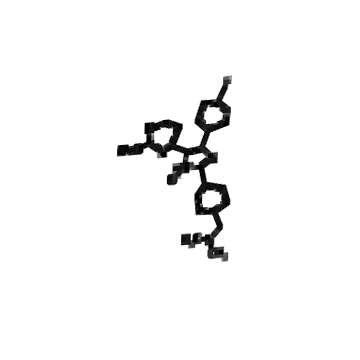 COc1nccc(C2=C(c3ccc(F)cc3)N=C(c3ccc(CN(C)C)cc3)[NH+]2[O-])n1